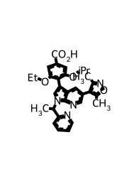 CCOc1cc(C(=O)O)cc(OC(C)C)c1-c1cn(C(C)c2ccccn2)c2ncc(-c3c(C)noc3C)cc12